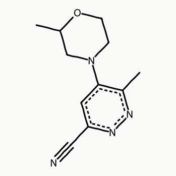 Cc1nnc(C#N)cc1N1CCOC(C)C1